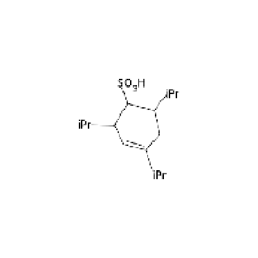 CC(C)C1=CC(C(C)C)C(S(=O)(=O)O)C(C(C)C)C1